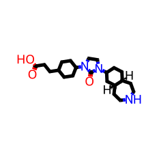 O=C(O)CCC1CCC(N2CCN(C3CC[C@H]4CCNCC[C@@H]4C3)C2=O)CC1